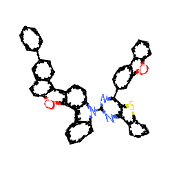 c1ccc(-c2ccc3c(ccc4oc5c(ccc6c5c5ccccc5n6-c5nc(-c6ccc7c(c6)oc6ccccc67)c6sc7ccccc7c6n5)c43)c2)cc1